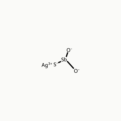 [Ag+3].[O-][Sb]([O-])[S-]